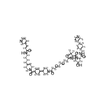 Cc1ncsc1-c1ccc(CNC(=O)[C@@H]2C[C@@H](O)CN2C(=O)[C@@H](NC(=O)CCOCCOCCC(=O)N2CCC(c3ccc(C(=O)N4CCC(CCCCNC(=O)/C=C/c5cccnc5)CC4)cc3)CC2)C(C)(C)C)cc1